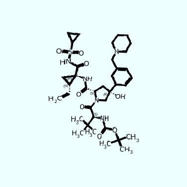 C=C[C@@H]1C[C@]1(NC(=O)[C@@H]1C[C@@](O)(C2C=CC=C(CN3CCCCC3)C2)CN1C(=O)[C@@H](NC(=O)OC(C)(C)C)C(C)(C)C)C(=O)NS(=O)(=O)C1CC1